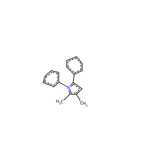 Cc1cc(-c2ccccc2)n(-c2ccccc2)c1C